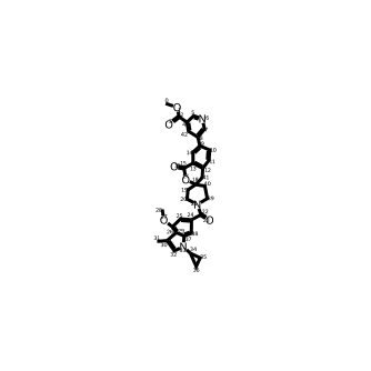 COC(=O)c1cncc(-c2ccc3c(c2)C(=O)OC2(CCN(C(=O)c4cc(OC)c5c(C)cn(C6CC6)c5c4)CC2)C3)c1